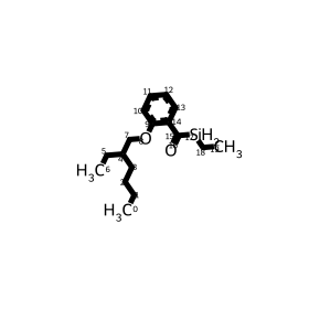 CCCCC(CC)COc1ccccc1C(=O)[SiH2]CC